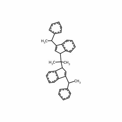 CC(C1=CC(C(C)(C)C2C=C(C(C)c3ccccc3)c3ccccc32)c2ccccc21)c1ccccc1